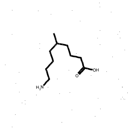 C[C](CCCCN)CCCC(=O)O